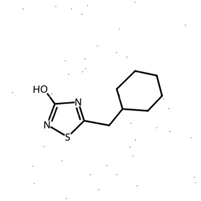 Oc1nsc(CC2CCCCC2)n1